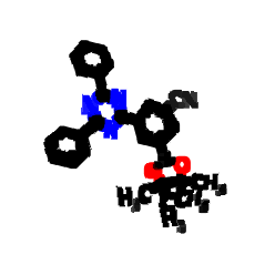 CC1(C)OB(c2cc(C#N)cc(-c3nc(-c4ccccc4)nc(-c4ccccc4)n3)c2)OC1(C)C